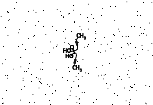 CC#CCS(=O)(O)(O)CC#CC